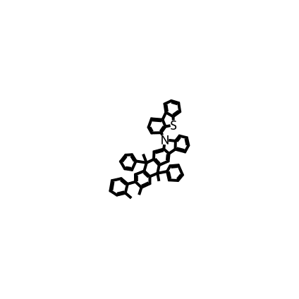 Cc1ccccc1-c1cc2c(cc1C)C(C)(c1ccccc1)c1cc3c4ccccc4n(-c4cccc5c4sc4ccccc45)c3cc1C2(C)c1ccccc1